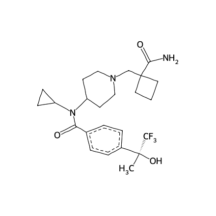 C[C@](O)(c1ccc(C(=O)N(C2CC2)C2CCN(CC3(C(N)=O)CCC3)CC2)cc1)C(F)(F)F